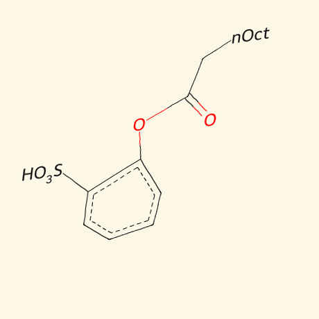 CCCCCCCCCC(=O)Oc1ccccc1S(=O)(=O)O